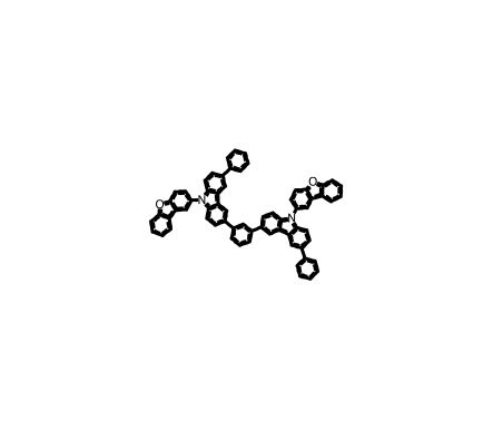 c1ccc(-c2ccc3c(c2)c2cc(-c4cccc(-c5ccc6c(c5)c5cc(-c7ccccc7)ccc5n6-c5ccc6oc7ccccc7c6c5)c4)ccc2n3-c2ccc3oc4ccccc4c3c2)cc1